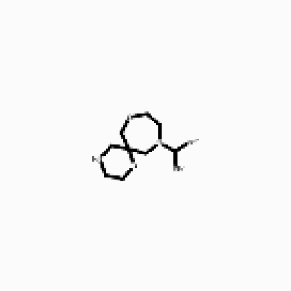 CCCC(CCC)N1CCOCC2(CNCCO2)C1